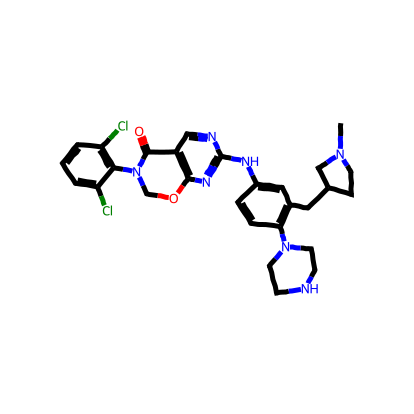 CN1CCC(Cc2cc(Nc3ncc4c(n3)OCN(c3c(Cl)cccc3Cl)C4=O)ccc2N2CCNCC2)C1